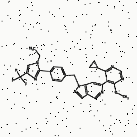 CCn1cc(C(F)(F)F)nc1-c1ccc(Cn2ncc3cnc(-c4c(OC)ncnc4C4CC4)cc32)cc1